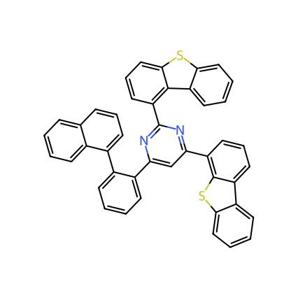 c1ccc(-c2cccc3ccccc23)c(-c2cc(-c3cccc4c3sc3ccccc34)nc(-c3cccc4sc5ccccc5c34)n2)c1